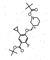 CC(C)(C)OC(=O)c1cc(C2CC2)c(OC[C@@H]2CCCN(OC(=O)C(C)(C)C)C2)cc1F